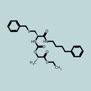 CCOC(=O)[C@H](C)OC(=O)N[C@@H](CSCc1ccccc1)C(=O)NCCCCc1ccccc1